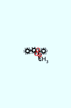 CCOC(=O)C(Oc1ccc(-c2ccccc2)cc1)C1CCCCC1